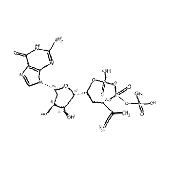 C=C(C)CCC(OP(=O)(O)OP(=O)(O)OP(=O)(O)O)[C@H]1O[C@@H](n2cnc3c(=O)[nH]c(N)nc32)[C@H](O)[C@@H]1O